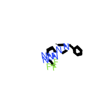 C[C@@H]1CN(Cc2ccccc2)CCN1c1ccc2nnc(C(F)(F)F)n2n1